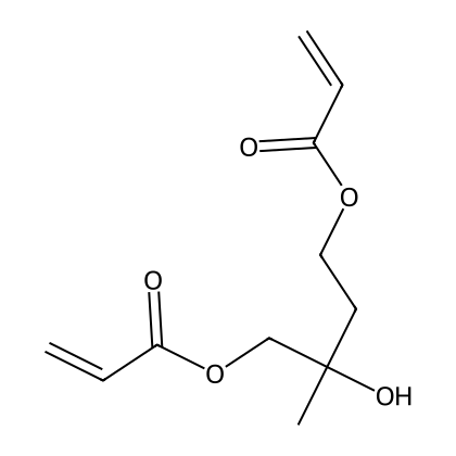 C=CC(=O)OCCC(C)(O)COC(=O)C=C